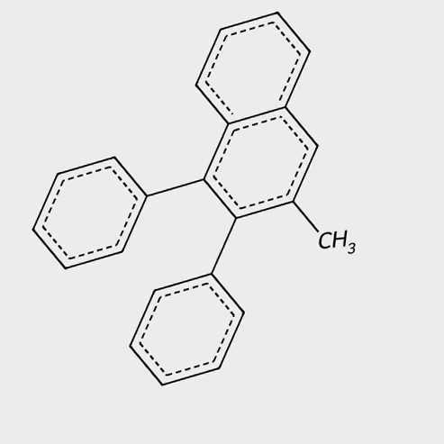 Cc1cc2ccccc2c(-c2ccccc2)c1-c1ccccc1